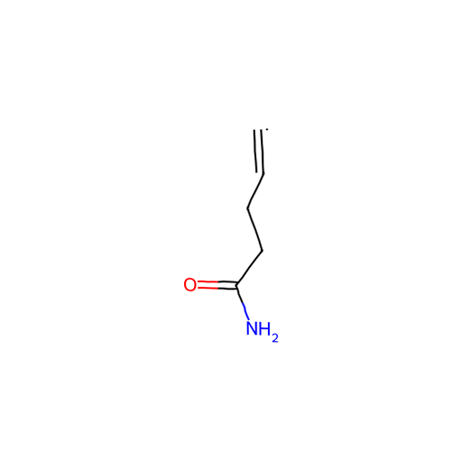 [CH]=CCCC(N)=O